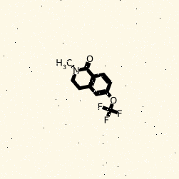 CN1CCc2cc(OC(F)(F)F)ccc2C1=O